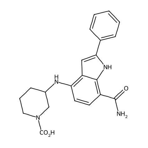 NC(=O)c1ccc(NC2CCCN(C(=O)O)C2)c2cc(-c3ccccc3)[nH]c12